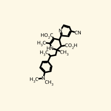 CC1=C(C(=O)O)C(c2cc(C#N)ccn2)C(C(=O)O)C(C)(CC(C)c2ccc(N(C)C)cc2)N1